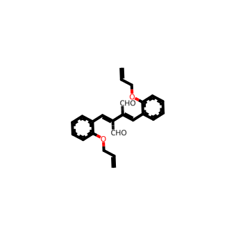 C=CCOc1ccccc1/C=C(C=O)/C(C=O)=C/c1ccccc1OCC=C